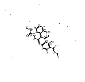 CCOC(=O)c1c(C)cc2nc(COC(=O)NC)n(-c3ccccc3F)c(=O)c2c1C